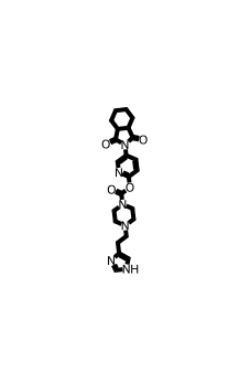 O=C(Oc1ccc(N2C(=O)C3CCCCC3C2=O)cn1)N1CCN(CCc2c[nH]cn2)CC1